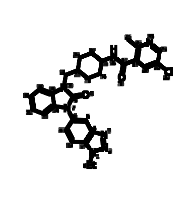 CCn1nnc2cc(-n3c(=O)n(CC4CCC(NC(=O)c5cc(Cl)cnc5C)CC4)c4ccccc43)ccc21